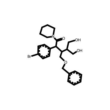 O=C(C(c1ccc(Br)cc1)C(COCc1ccccc1)C(CO)CO)N1CCCCC1